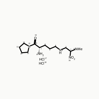 CNC(CNCCC[C@H](N)C(=O)N1CCCC1)[N+](=O)[O-].Cl.Cl